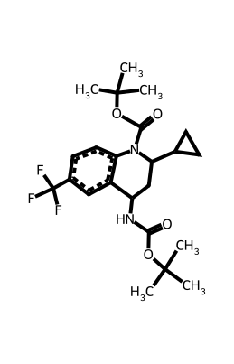 CC(C)(C)OC(=O)NC1CC(C2CC2)N(C(=O)OC(C)(C)C)c2ccc(C(F)(F)F)cc21